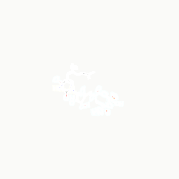 CC(=O)C(CC=C(C)C)Cc1cn([C@@H]2O[C@H](COP3(=O)CP(=O)(O)OP(=O)(O)O3)C(O)[C@@H]2O)c(=O)[nH]c1=O